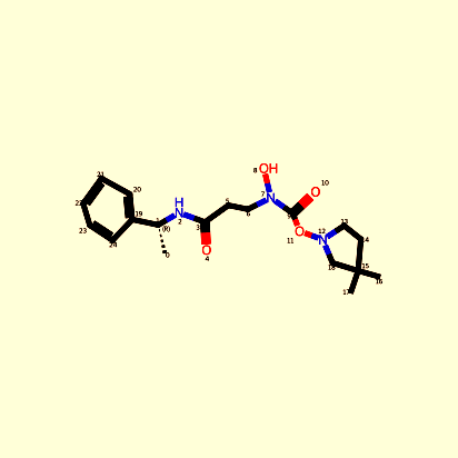 C[C@@H](NC(=O)CCN(O)C(=O)ON1CCC(C)(C)C1)c1ccccc1